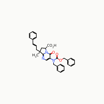 C[C@@]1(CC=Cc2ccccc2)C[C@@H](C(=O)O)n2c1ncc(N(Cc1ccccc1)C(=O)OCc1ccccc1)c2=O